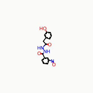 O=Nc1cccc(C(=O)NNC(=O)Cc2cccc(O)c2)c1